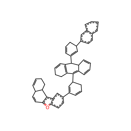 C1=CC2=C(C3C=C(c4ccc5oc6c(c5c4)C4CCC=CC4C=C6)C=CC3)C3=C(C=CCC3)C(C3=CC(c4ccc5ccccc5c4)CC=C3)C2C=C1